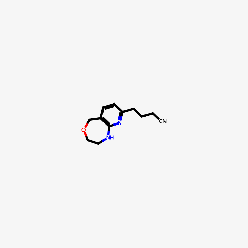 N#CCCCc1ccc2c(n1)NCCOC2